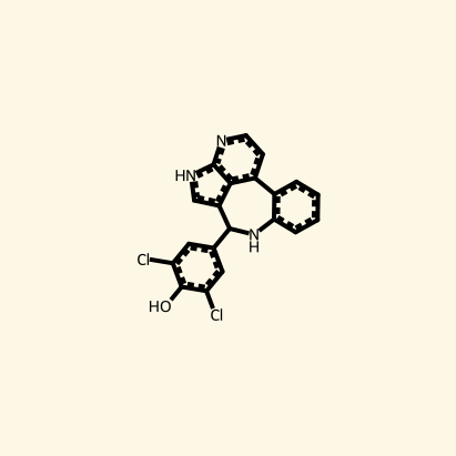 Oc1c(Cl)cc(C2Nc3ccccc3-c3ccnc4[nH]cc2c34)cc1Cl